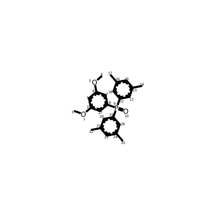 COc1cc(OC)cc(P(=O)(c2cc(C)cc(C)c2)c2cc(C)cc(C)c2)c1